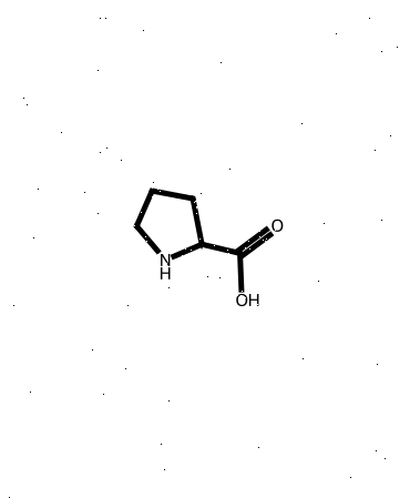 O=C(O)[C]1CCCN1